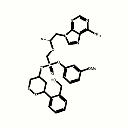 COc1cccc(OP(=O)(CO[C@H](C)Cn2cnc3c(N)ncnc32)OC2CSSC(c3ccccc3CO)C2)c1